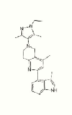 CCn1nc(C)c(N2CCc3nc(-c4cccc5[nH]cc(C)c45)cc(C)c3C2)c1C